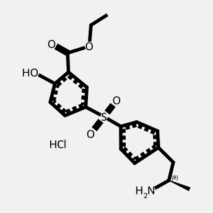 CCOC(=O)c1cc(S(=O)(=O)c2ccc(C[C@@H](C)N)cc2)ccc1O.Cl